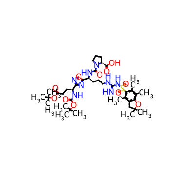 Cc1c(C)c(S(=O)(=O)NC(=N)NCCC[C@H](NC(=O)N2CCC[C@H]2C(=O)O)c2nc([C@H](CCC(=O)OC(C)(C)C)NC(=O)OC(C)(C)C)no2)c(C)c2c1OC(C)(C)C2